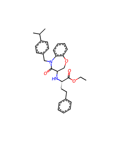 CCOC(=O)[C@H](CCc1ccccc1)NC1COc2ccccc2N(Cc2ccc(C(C)C)cc2)C1=O